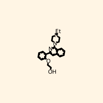 CCN1CCN(c2nc(-c3ccccc3OCCO)cc3ccccc23)CC1